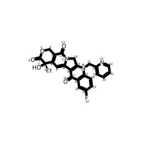 CC[C@@]1(O)C(=O)OCc2c1cc1n(c2=O)Cc2c-1c(=O)c1cc(F)ccc1n2Cc1ccccn1